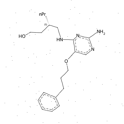 CCC[C@@H](CCO)CNc1nc(N)ncc1OCCCc1ccccc1